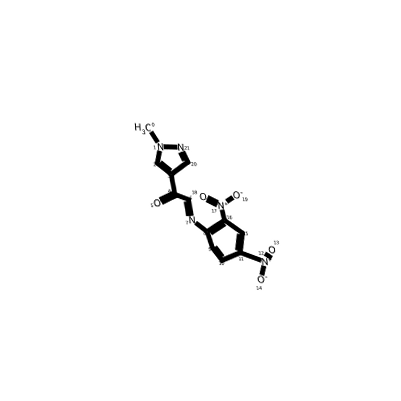 Cn1cc(C(=O)C=Nc2ccc([N+](=O)[O-])cc2[N+](=O)[O-])cn1